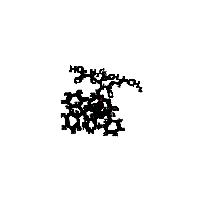 CCCCC(=O)N(Cc1ccc(-c2ccccc2)c(-c2nnnn2C(c2ccccc2)(c2ccccc2)c2ccccc2)c1)[C@@H](OCC(=O)O)C(C)C